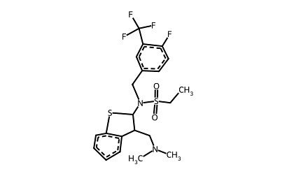 CCS(=O)(=O)N(Cc1ccc(F)c(C(F)(F)F)c1)C1Sc2ccccc2C1CN(C)C